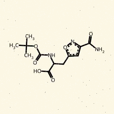 CC(C)(C)OC(=O)NC(Cc1cc(C(N)=O)no1)C(=O)O